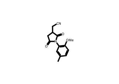 COc1ccc(C)cc1N1C(=O)CC(CC#N)C1=O